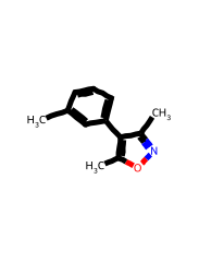 Cc1cccc(-c2c(C)noc2C)c1